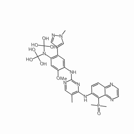 COc1cc(N(C(O)(O)O)C(O)(O)O)c(-c2cnn(C)c2)cc1Nc1ncc(C)c(Nc2ccc3nccnc3c2P(C)(C)=O)n1